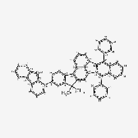 CC1(C)c2cc(-c3cccc4c3oc3ccccc34)ccc2-c2c1cc1c3c(cccc23)-c2c-1c(-c1ccccc1)c1ccccc1c2-c1ccccc1